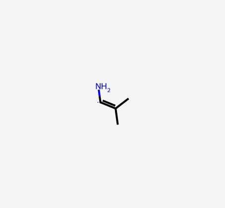 CC(C)=[C]N